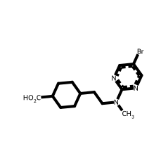 CN(CCC1CCC(C(=O)O)CC1)c1ncc(Br)cn1